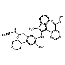 C#CNC(=O)Nc1cc(Nc2c(-c3ncncc3C(=O)OC(C)C)c3ccccc3n2C)c(OC)cc1N1CCOCC1